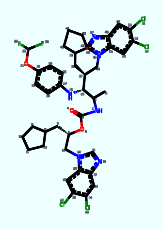 CC(NC(=O)O[C@@H](CC1CCCC1)Cn1cnc2cc(Cl)c(Cl)cc21)[C@H](Nc1ccc(OC(F)F)cc1)[C@@H](CC1CCCC1)Cn1cnc2cc(Cl)c(Cl)cc21